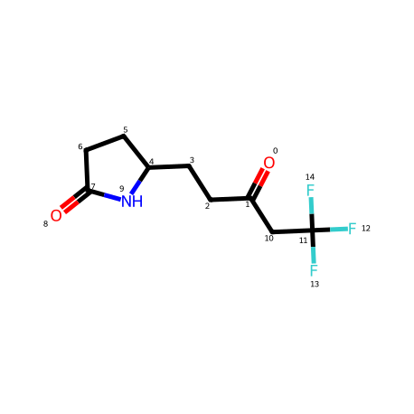 O=C(CCC1CCC(=O)N1)CC(F)(F)F